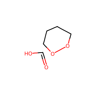 C1CCOOC1.O=CO